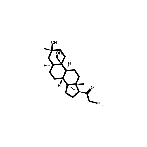 C[C@@]1(O)CC[C@@]2(CO)[C@@H](CC[C@H]3[C@@H]4CC[C@H](C(=O)CN)[C@@]4(C)CC[C@@H]32)C1